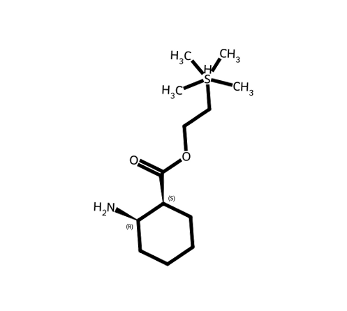 C[SH](C)(C)(C)CCOC(=O)[C@H]1CCCC[C@H]1N